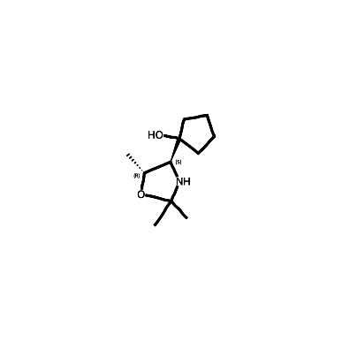 C[C@H]1OC(C)(C)N[C@@H]1C1(O)CCCC1